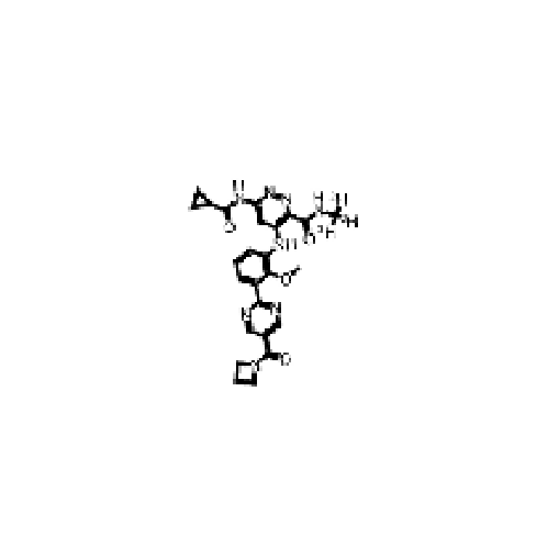 [2H]C([2H])([2H])NC(=O)c1nnc(NC(=O)C2CC2)cc1Nc1cccc(-c2ncc(C(=O)N3CCC3)cn2)c1OC